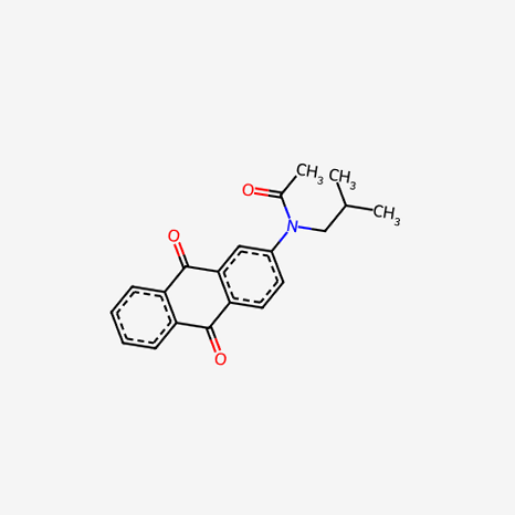 CC(=O)N(CC(C)C)c1ccc2c(c1)C(=O)c1ccccc1C2=O